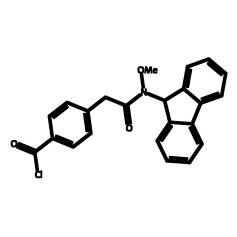 CON(C(=O)Cc1ccc(C(=O)Cl)cc1)C1c2ccccc2-c2ccccc21